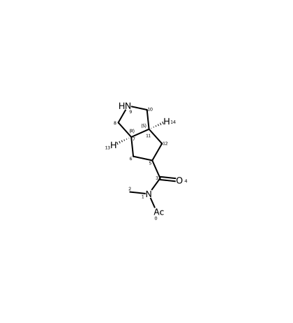 CC(=O)N(C)C(=O)C1C[C@H]2CNC[C@H]2C1